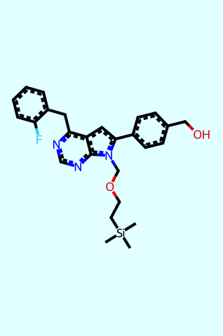 C[Si](C)(C)CCOCn1c(-c2ccc(CO)cc2)cc2c(Cc3ccccc3F)ncnc21